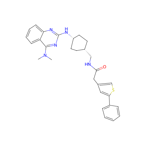 CN(C)c1nc(N[C@H]2CC[C@@H](CNC(=O)Cc3csc(-c4ccccc4)c3)CC2)nc2ccccc12